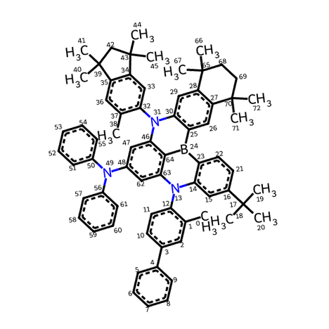 Cc1cc(-c2ccccc2)ccc1N1c2cc(C(C)(C)C)ccc2B2c3cc4c(cc3N(c3cc5c(cc3C)C(C)(C)CC5(C)C)c3cc(N(c5ccccc5)c5ccccc5)cc1c32)C(C)(C)CCC4(C)C